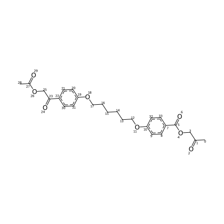 CC(=O)COC(=O)c1ccc(OCCCCCCOc2ccc(C(=O)COC(C)=O)cc2)cc1